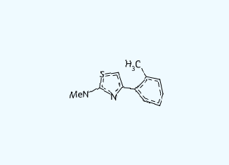 CNc1nc(-c2ccccc2C)cs1